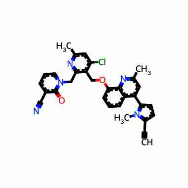 C#Cc1ccc(-c2cc(C)nc3c(OCc4c(Cl)cc(C)nc4Cn4cccc(C#N)c4=O)cccc23)n1C